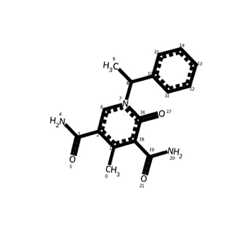 Cc1c(C(N)=O)cn(C(C)c2ccccc2)c(=O)c1C(N)=O